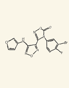 O=c1onc(-c2nonc2Nc2ccoc2)n1-c1ccc(F)c(Br)c1